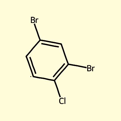 Clc1[c]cc(Br)cc1Br